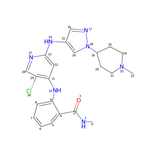 CNC(=O)c1ccccc1Nc1cc(Nc2cnn(C3CCN(C)CC3)c2)ncc1Cl